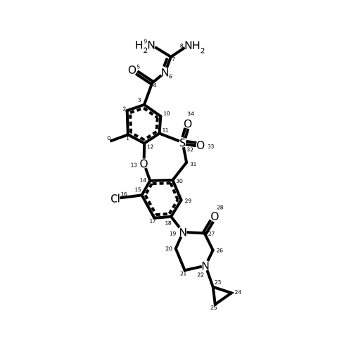 Cc1cc(C(=O)N=C(N)N)cc2c1Oc1c(Cl)cc(N3CCN(C4CC4)CC3=O)cc1CS2(=O)=O